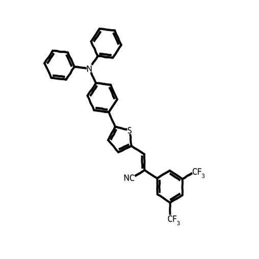 N#C/C(=C\c1ccc(-c2ccc(N(c3ccccc3)c3ccccc3)cc2)s1)c1cc(C(F)(F)F)cc(C(F)(F)F)c1